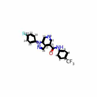 O=C(Nc1ccc(C(F)(F)F)cc1)c1cncc2c1cnn2-c1ccc(F)cc1